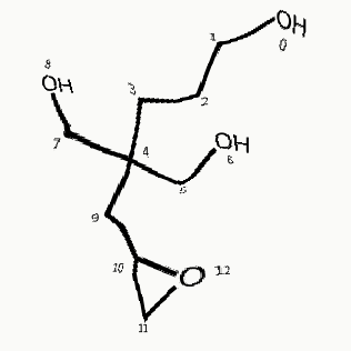 OCCCC(CO)(CO)CC1CO1